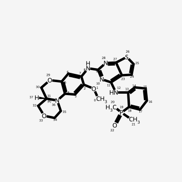 COc1cc2c(cc1Nc1nc(Nc3ccccc3P(C)(C)=O)c3ccsc3n1)OC[C@H]1COCCN21